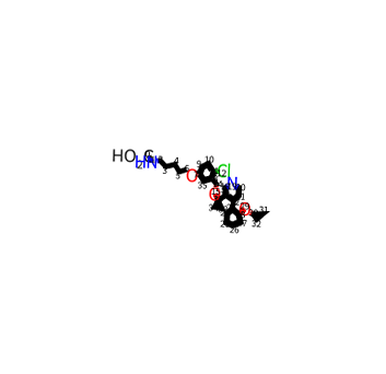 O=C(O)NCCCCCOc1ccc(Cl)c(COC2(c3cnccc3-c3ccccc3OC3CC3)CC2)c1